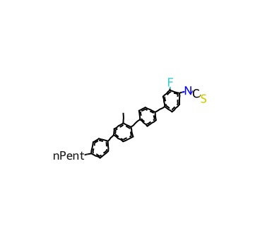 CCCCCc1ccc(-c2ccc(-c3ccc(-c4ccc(N=C=S)c(F)c4)cc3)c(C)c2)cc1